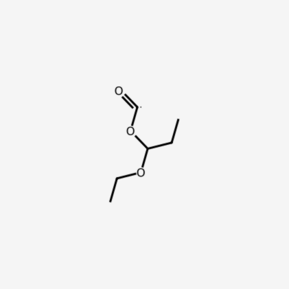 CCOC(CC)O[C]=O